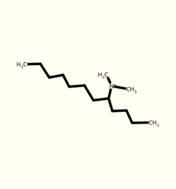 CCCCCCCC(CCCC)[N+](C)C